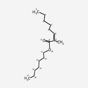 CCCCCC=C(C)C(=O)OCCCCCCC